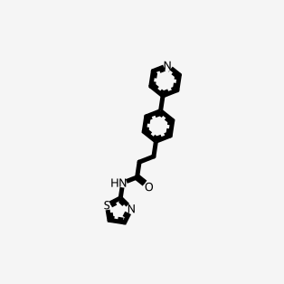 O=C(CCc1ccc(-c2ccncc2)cc1)Nc1nccs1